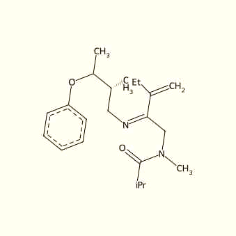 C=C(CC)/C(CN(C)C(=O)C(C)C)=N\C[C@@H](C)C(C)Oc1ccccc1